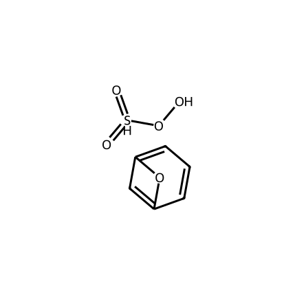 O=[SH](=O)OO.c1cc2cc(c1)O2